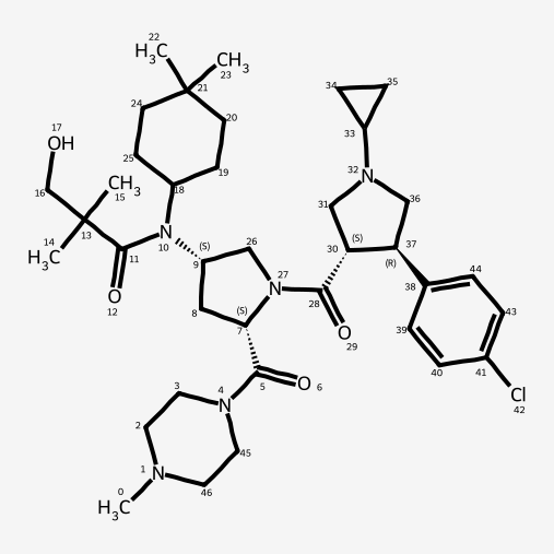 CN1CCN(C(=O)[C@@H]2C[C@H](N(C(=O)C(C)(C)CO)C3CCC(C)(C)CC3)CN2C(=O)[C@@H]2CN(C3CC3)C[C@H]2c2ccc(Cl)cc2)CC1